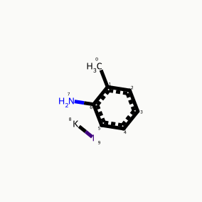 Cc1ccccc1N.[K][I]